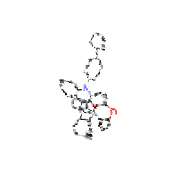 c1ccc2c(c#1)C1(c3ccccc3Oc3ccc(N(c4ccc(-c5ccccc5)cc4)c4ccccc4-c4ccccc4)cc31)c1ccccc1-2